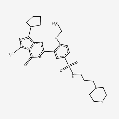 CCOc1ccc(S(=O)(=O)NCCCN2CCOCC2)cc1-c1nc2c(C3CCCC3)nc(C)n2c(=O)[nH]1